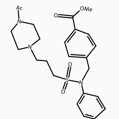 COC(=O)c1ccc(CN(c2ccccc2)S(=O)(=O)CCCN2CCN(C(C)=O)CC2)cc1